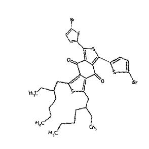 CCCCC(CC)Cc1sc(CC(CC)CCCC)c2c1C(=O)c1c(-c3ccc(Br)s3)sc(-c3ccc(Br)s3)c1C2=O